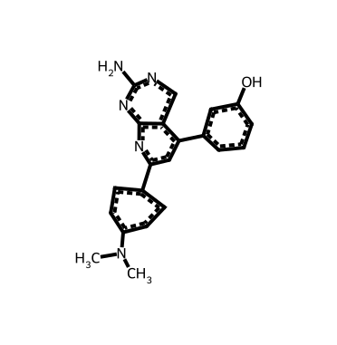 CN(C)c1ccc(-c2cc(-c3cccc(O)c3)c3cnc(N)nc3n2)cc1